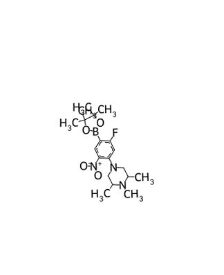 CC1CN(c2cc(F)c(B3OC(C)(C)C(C)(C)O3)cc2[N+](=O)[O-])CC(C)N1C